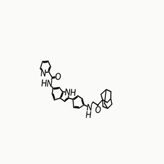 O=C(Nc1ccc2cc(-c3ccc(NCC(=O)C45CC6CC(CC(C6)C4)C5)cc3)[nH]c2c1)c1ccccn1